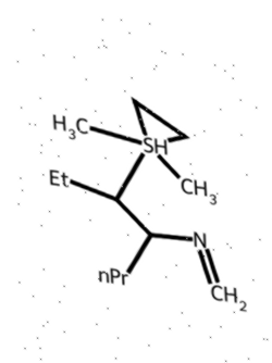 C=NC(CCC)C(CC)[SH]1(C)(C)CC1